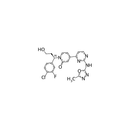 Cc1nnc(Nc2nccc(-c3ccn([C@H](CCO)c4ccc(Cl)c(F)c4)c(=O)c3)n2)o1